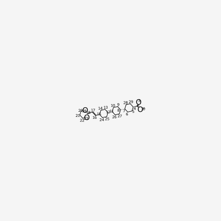 COC(=O)[C@H]1CC[C@H](C2CCC([C@H]3CC[C@H](C=CC4OCCCO4)CC3)CC2)CC1